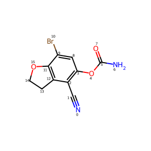 N#Cc1c(OC(N)=O)cc(Br)c2c1CCO2